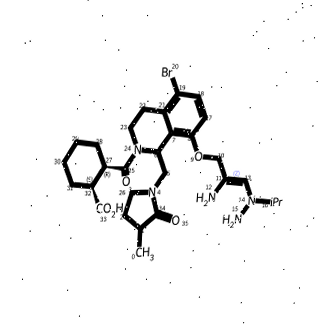 CC1CCN(CC2c3c(OC/C(N)=C/N(N)C(C)C)ccc(Br)c3CCN2C(=O)[C@@H]2CCCC[C@@H]2C(=O)O)C1=O